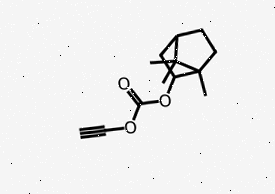 C#COC(=O)OC1CC2CCC1(C)C2(C)C